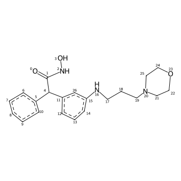 O=C(NO)C(c1ccccc1)c1cccc(NCCCN2CCOCC2)c1